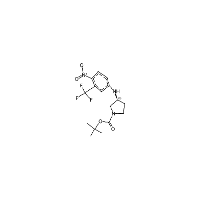 CC(C)(C)OC(=O)N1CC[C@H](Nc2ccc([N+](=O)[O-])c(C(F)(F)F)c2)C1